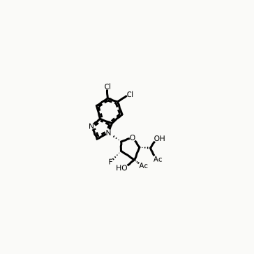 CC(=O)C(O)[C@H]1O[C@@H](n2cnc3cc(Cl)c(Cl)cc32)[C@@H](F)[C@@]1(O)C(C)=O